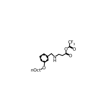 CCCCCCCCOc1cccc(CNCCC(=O)OC(=O)C(F)(F)F)c1